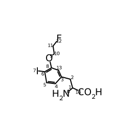 NC(Cc1ccc(I)c(OCCF)c1)C(=O)O